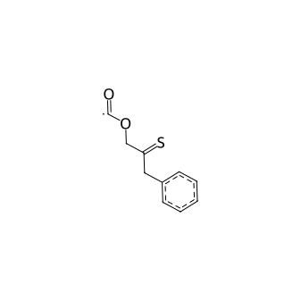 O=[C]OCC(=S)Cc1ccccc1